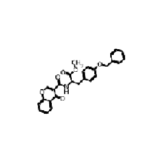 COC(=O)C(Cc1ccc(OCc2ccccc2)cc1)NC(=O)c1coc2ccccc2c1=O